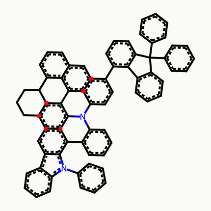 c1ccc(-n2c3ccccc3c3cccc(-c4ccccc4N(c4ccc(-c5cccc6c5-c5ccccc5C6(c5ccccc5)c5ccccc5)cc4)c4ccccc4-c4cccc5cccc(C6CCCCC6)c45)c32)cc1